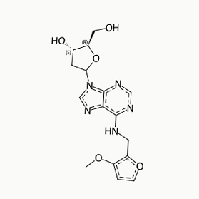 COc1ccoc1CNc1ncnc2c1ncn2C1C[C@H](O)[C@@H](CO)O1